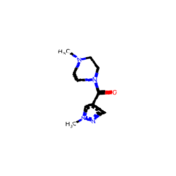 CN1CCN(C(=O)c2cnn(C)c2)CC1